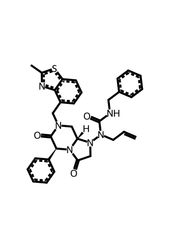 C=CCN(C(=O)NCc1ccccc1)N1CC(=O)N2[C@@H](c3ccccc3)C(=O)N(Cc3cccc4sc(C)nc34)C[C@@H]21